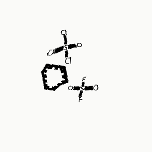 O=S(=O)(Cl)Cl.O=S(=O)(F)F.c1ccccc1